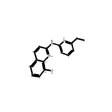 CCc1cccc(Nc2ccc3cccc(Cl)c3n2)n1